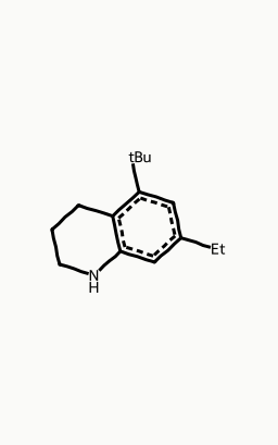 CCc1cc2c(c(C(C)(C)C)c1)CCCN2